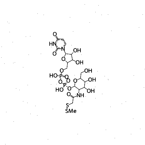 CSSCC(=O)NC1C(OP(=O)(O)OP(=O)(O)OCC2OC(n3ccc(=O)[nH]c3=O)C(O)C2O)OC(CO)C(O)C1O